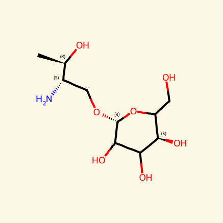 C[C@@H](O)[C@@H](N)CO[C@@H]1OC(CO)[C@@H](O)C(O)C1O